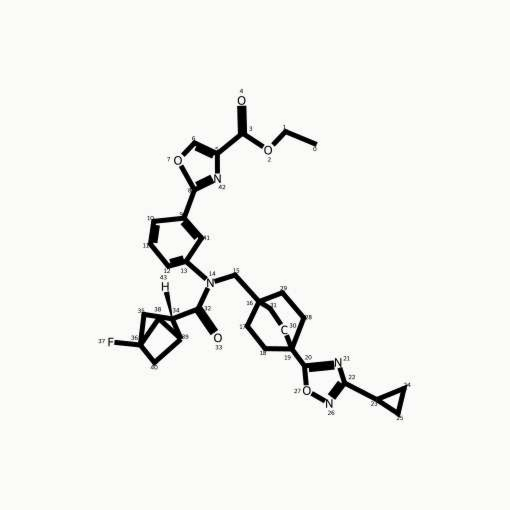 CCOC(=O)c1coc(-c2cccc(N(CC34CCC(c5nc(C6CC6)no5)(CC3)CC4)C(=O)[C@H]3CC4(F)CC3C4)c2)n1